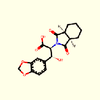 O=C(O)[C@H]([C@H](O)c1ccc2c(c1)OCO2)N1C(=O)[C@H]2CCCC[C@H]2C1=O